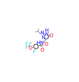 COC[C@@H](NC(=O)c1cc(=O)[nH]c(N(C)CC(C)C)n1)c1ccc(OC(F)(F)F)c(F)c1